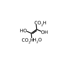 O.O=C(O)C(O)=C(O)C(=O)O